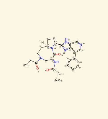 CN[C@@H](C)C(=O)N[C@H]1CN(C(=O)CC(C)C)CC[C@H]2CC[C@@H](c3nc4c(-c5ccccc5)cncc4[nH]3)N2C1=O